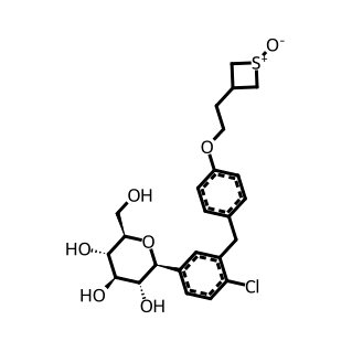 [O-][S+]1CC(CCOc2ccc(Cc3cc([C@@H]4O[C@H](CO)[C@@H](O)[C@H](O)[C@H]4O)ccc3Cl)cc2)C1